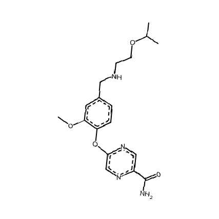 COc1cc(CNCCOC(C)C)ccc1Oc1cnc(C(N)=O)cn1